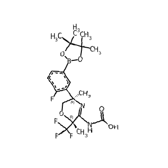 CC1(C)OB(c2ccc(F)c([C@]3(C)CO[C@@](C)(C(F)(F)F)C(NC(=O)O)=N3)c2)OC1(C)C